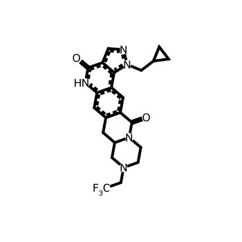 O=C1c2cc3c(cc2CC2CN(CC(F)(F)F)CCN12)[nH]c(=O)c1cnn(CC2CC2)c13